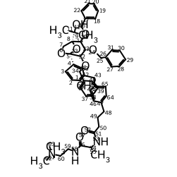 Cc1ccc([C@]23OC[C@](C(C)(C)O)(O2)[C@@H](OCc2ccccc2)[C@H](OCc2ccccc2)[C@H]3OCc2ccccc2)cc1Cc1ccc(CCCC(=O)NC(C)C(=O)NCCN(C)C)cc1